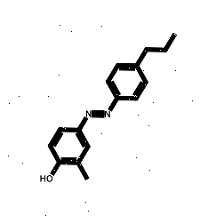 CCCc1ccc(/N=N/c2ccc(O)c(C)c2)cc1